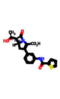 C[C@@H](O)[C@H]1C(=O)N2C(C(=O)O)=C(c3cccc(NC(=O)c4cccs4)c3)C[C@H]12